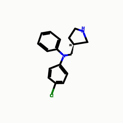 Clc1ccc(N(C[C@@H]2CCNC2)c2ccccc2)cc1